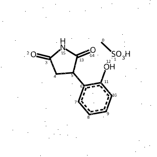 CS(=O)(=O)O.O=C1CC(c2ccccc2O)C(=O)N1